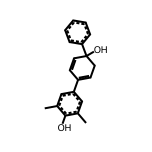 Cc1cc(C2=CCC(O)(c3ccccc3)C=C2)cc(C)c1O